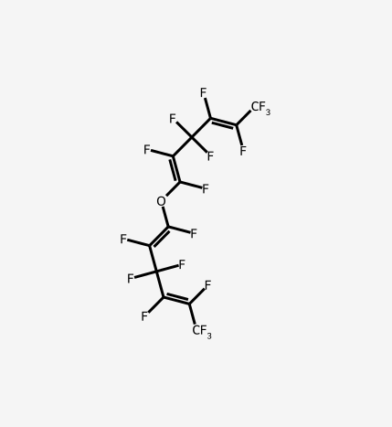 FC(OC(F)=C(F)C(F)(F)C(F)=C(F)C(F)(F)F)=C(F)C(F)(F)C(F)=C(F)C(F)(F)F